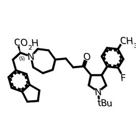 Cc1ccc(C2CN(C(C)(C)C)CC2C(=O)CCC2CCCN([C@@H](Cc3ccc4c(c3)CCC4)C(=O)O)CC2)c(F)c1